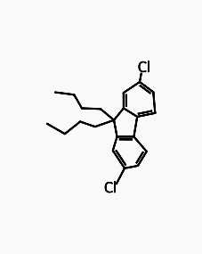 CCCCC1(CCCC)c2cc(Cl)ccc2-c2ccc(Cl)cc21